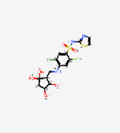 O=S(=O)(Nc1nccs1)c1cc(Cl)c(NCC2C(O)C(O)CC2(O)O)cc1F